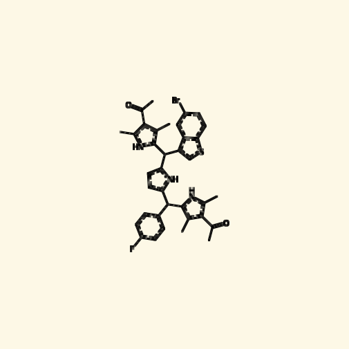 CC(=O)c1c(C)[nH]c(C(c2ccc(F)cc2)c2ccc(C(c3[nH]c(C)c(C(C)=O)c3C)c3csc4ccc(Br)cc34)[nH]2)c1C